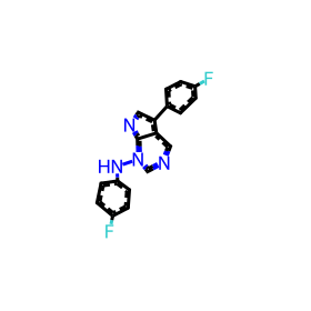 Fc1ccc(Nn2cncc3c(-c4ccc(F)cc4)cnc2-3)cc1